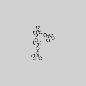 C1=Cc2c(cccc2N(c2ccccc2)c2ccc(-c3ccc(N(c4ccccc4)c4cccc5c4C=CC(c4ccc6c(N(c7ccccc7)c7ccc(-c8ccc(N(c9ccccc9)c9cccc%10ccccc9%10)cc8)cc7)cccc6c4)C5)cc3)cc2)CC1